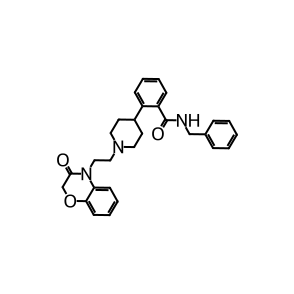 O=C(NCc1ccccc1)c1ccccc1C1CCN(CCN2C(=O)COc3ccccc32)CC1